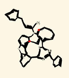 C=C(/C=C\C=C/CC)N(/C(C)=C/Cc1ccccc1)c1ccc2oc3cccc(-c4nc(-c5ccccc5)nc(-c5ccccc5)n4)c3c2c1